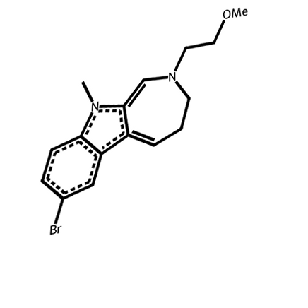 COCCN1C=c2c(c3cc(Br)ccc3n2C)=CCC1